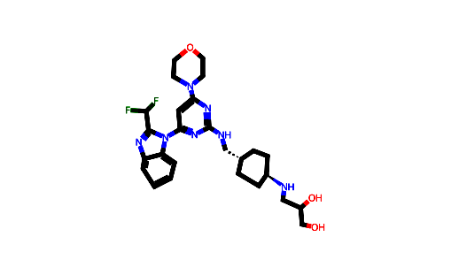 OCC(O)CN[C@H]1CC[C@H](CNc2nc(N3CCOCC3)cc(-n3c(C(F)F)nc4ccccc43)n2)CC1